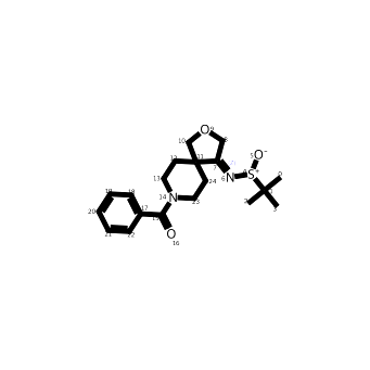 CC(C)(C)[S+]([O-])/N=C1\COCC12CCN(C(=O)c1ccccc1)CC2